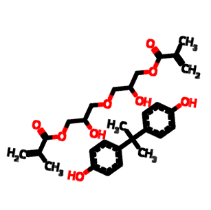 C=C(C)C(=O)OCC(O)COCC(O)COC(=O)C(=C)C.CC(C)(c1ccc(O)cc1)c1ccc(O)cc1